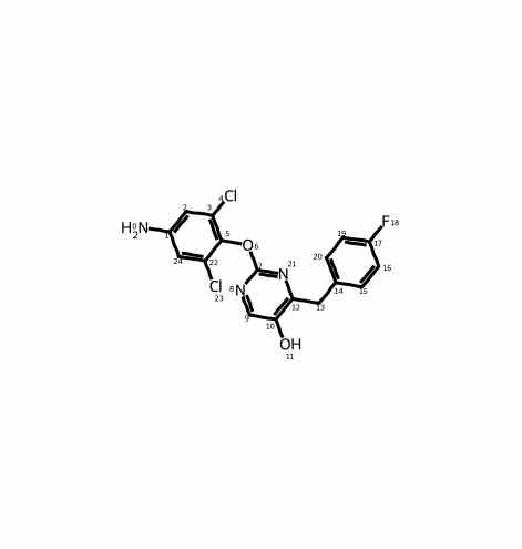 Nc1cc(Cl)c(Oc2ncc(O)c(Cc3ccc(F)cc3)n2)c(Cl)c1